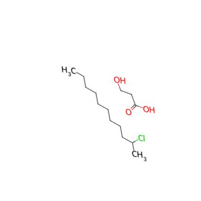 CCCCCCCCCC(C)Cl.O=C(O)CCO